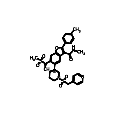 CNC(=O)c1c(-c2ccc(C)cc2)oc2cc(N(C)S(C)(=O)=O)c([C@@H]3CCCN(S(=O)(=O)Cc4ccncc4)C3)cc12